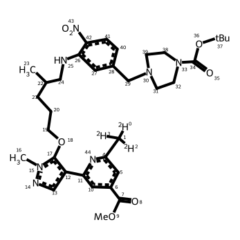 [2H]C([2H])([2H])c1cc(C(=O)OC)cc(-c2cnn(C)c2OCCCC(C)CNc2cc(CN3CCN(C(=O)OC(C)(C)C)CC3)ccc2[N+](=O)[O-])n1